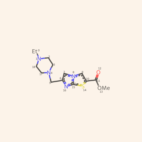 CCN1CCN(Cc2cn3cc(C(=O)OC)sc3n2)CC1